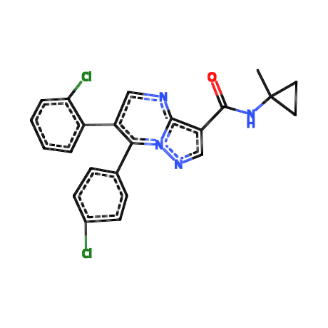 CC1(NC(=O)c2cnn3c(-c4ccc(Cl)cc4)c(-c4ccccc4Cl)cnc23)CC1